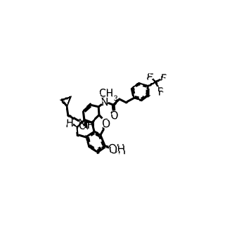 CN(C(=O)CCc1ccc(C(F)(F)F)cc1)C1C=C[C@@]2(O)[C@H]3Cc4ccc(O)c5c4[C@@]2(CCN3CC2CC2)C1O5